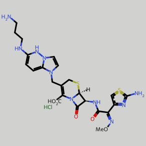 CO/N=C(\C(=O)N[C@H]1C(=O)N2C(C(=O)O)=C(CN3C=CN4NC(NCCCN)=CC=C34)CS[C@@H]12)c1csc(N)n1.Cl